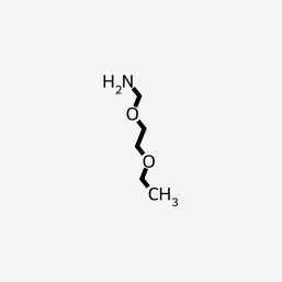 CCOCCOCN